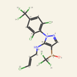 [O-][S+](c1cnn(-c2c(Cl)cc(C(F)(F)F)cc2Cl)c1NC/C=C/Cl)C(F)(F)F